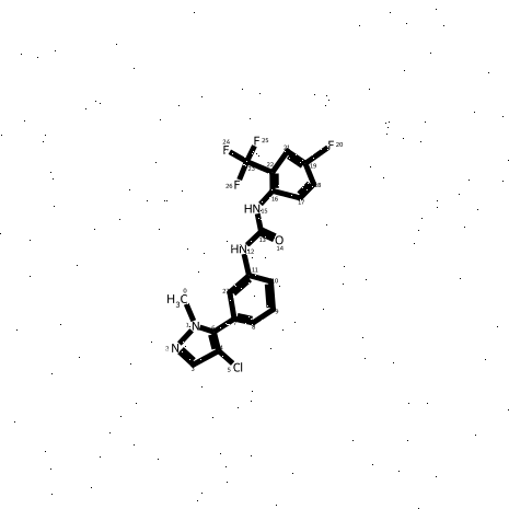 Cn1ncc(Cl)c1-c1cccc(NC(=O)Nc2ccc(F)cc2C(F)(F)F)c1